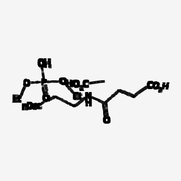 CC(=O)O.CCCCCCCCCCCCNC(=O)CCC(=O)O.CCOP(=O)(O)OCC